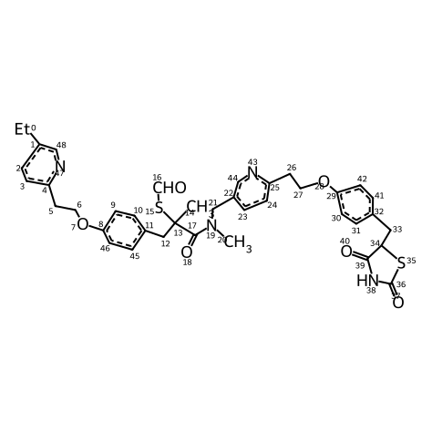 CCc1ccc(CCOc2ccc(CC(C)(SC=O)C(=O)N(C)Cc3ccc(CCOc4ccc(CC5SC(=O)NC5=O)cc4)nc3)cc2)nc1